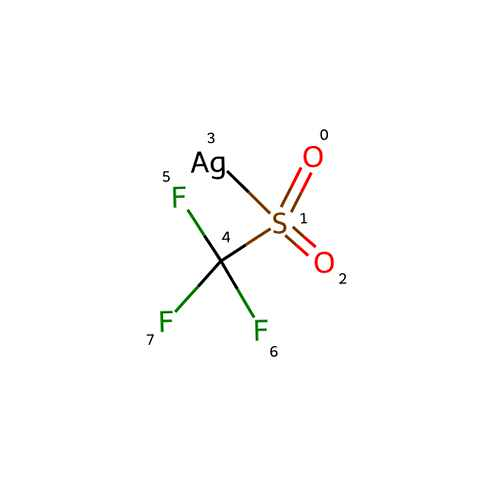 O=[S](=O)([Ag])C(F)(F)F